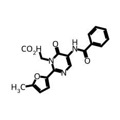 Cc1ccc(-c2ncc(NC(=O)c3ccccc3)c(=O)n2CC(=O)O)o1